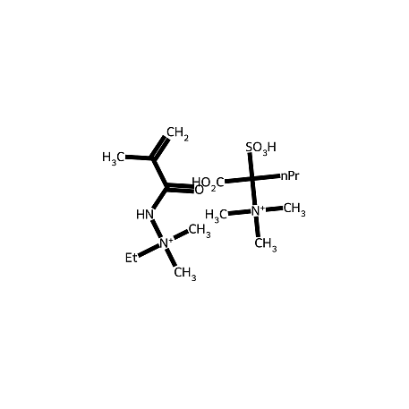 C=C(C)C(=O)N[N+](C)(C)CC.CCCC(C(=O)O)([N+](C)(C)C)S(=O)(=O)O